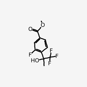 COC(=O)c1ccc(C(C)(O)C(F)(F)F)c(F)c1